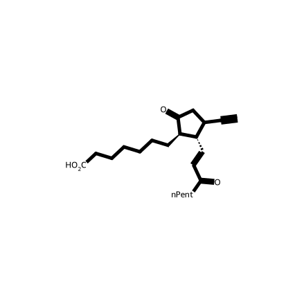 C#CC1CC(=O)[C@H](CCCCCCC(=O)O)[C@H]1C=CC(=O)CCCCC